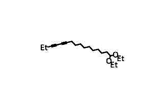 CCC#CC#CCCCCCCCCCC(OCC)OCC